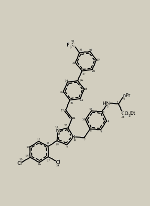 CCCC(Nc1ccc(Cn2cc(-c3ccc(Cl)cc3Cl)nc2C=Cc2ccc(-c3cccc(C(F)(F)F)c3)cc2)cc1)C(=O)OCC